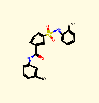 COc1ccccc1NS(=O)(=O)c1cccc(C(=O)Nc2cccc(N=O)c2)c1